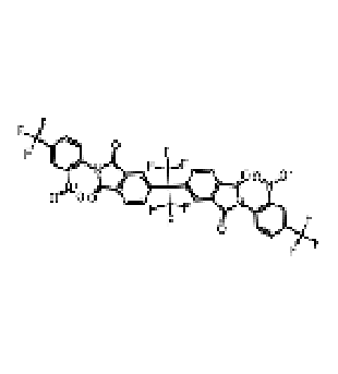 O=C1c2ccc(C(c3ccc4c(c3)C(=O)N(c3ccc(C(F)(F)F)cc3[N+](=O)[O-])C4=O)(C(F)(F)F)C(F)(F)F)cc2C(=O)N1c1ccc(C(F)(F)F)cc1[N+](=O)[O-]